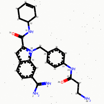 N=C(N)c1ccc2cc(C(=O)NC3CC=CCC3)n(Cc3ccc(NC(=O)CCN)cc3)c2c1